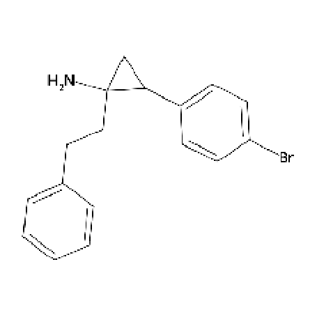 NC1(CCc2ccccc2)CC1c1ccc(Br)cc1